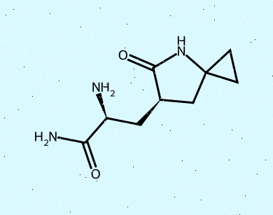 NC(=O)[C@@H](N)C[C@@H]1CC2(CC2)NC1=O